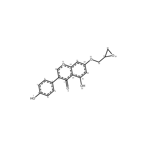 O=c1c(-c2ccc(O)cc2)coc2cc(OCC3CO3)cc(O)c12